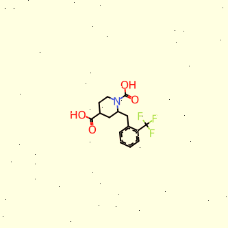 O=C(O)C1CCN(C(=O)O)C(Cc2ccccc2C(F)(F)F)C1